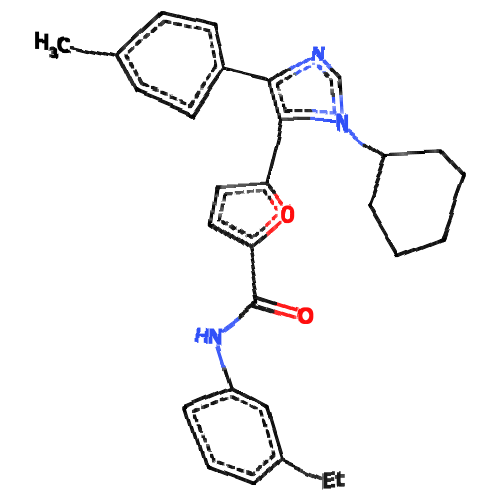 CCc1cccc(NC(=O)c2ccc(-c3c(-c4ccc(C)cc4)ncn3C3CCCCC3)o2)c1